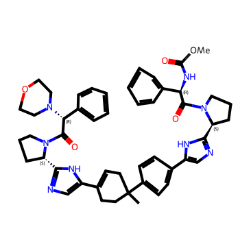 COC(=O)N[C@@H](C(=O)N1CCC[C@H]1c1ncc(-c2ccc(C3(C)CC=C(c4cnc([C@@H]5CCCN5C(=O)[C@@H](c5ccccc5)N5CCOCC5)[nH]4)CC3)cc2)[nH]1)c1ccccc1